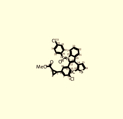 COC(=O)C1CC1c1cc(Cl)cc(-c2c(-c3ccsc3C#N)c3ccccc3n2[S+]([O-])c2ccc(Cl)cc2)c1